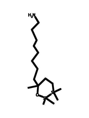 CC1(CCCCCCCCN)CC[Si](C)(C)[Si](C)(C)O1